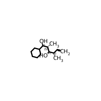 C=C[C@H](C)[C@@H](O)[C@@H](C)[C@H](O)C1CCCCC1